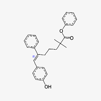 CC(C)(CCC/C(=C\c1ccc(O)cc1)c1ccccc1)C(=O)Oc1ccccc1